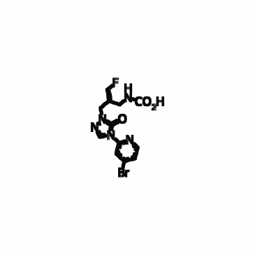 O=C(O)NC/C(=C\F)Cn1ncn(-c2cc(Br)ccn2)c1=O